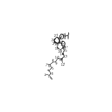 CC(C)CCCC(C)CCCC(C)CCCC1(C)CCc2cccc(O)c2O1